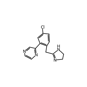 Clc1ccc(CC2=NCCN2)c(-c2cnccn2)c1